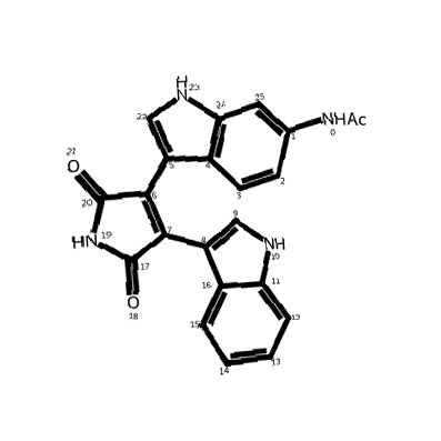 CC(=O)Nc1ccc2c(C3=C(c4c[nH]c5ccccc45)C(=O)NC3=O)c[nH]c2c1